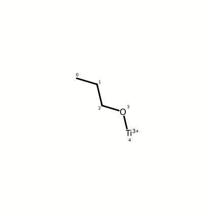 CCC[O][Ti+3]